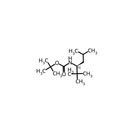 CC(C)C[C@H](NC(=O)OC(C)(C)C)C(C)(C)C